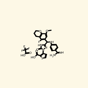 COc1cc(C(Nc2ccc(C(=N)N)cc2)c2nn(-c3ccsc3C(=O)O)c(=O)[nH]2)c(F)c2c1OCCC2.O=C(O)C(F)(F)F